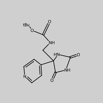 CC(C)(C)OC(=O)NCC1(c2ccncc2)NC(=O)NC1=O